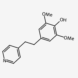 COc1cc(CCc2ccncc2)cc(OC)c1O